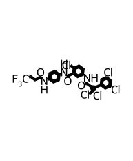 O=C(CCC(F)(F)F)Nc1ccc(NC(=O)c2cc(NC(=O)C3C(c4cc(Cl)cc(Cl)c4)C3(Cl)Cl)ccc2Cl)cc1